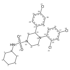 O=S(=O)(NC1CCCCC1)N1CCN(c2ccc(Cl)cc2Cl)C(c2ccc(Cl)cc2)C1